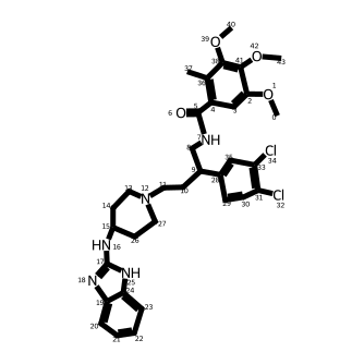 COc1cc(C(=O)NCC(CCN2CCC(Nc3nc4ccccc4[nH]3)CC2)c2ccc(Cl)c(Cl)c2)c(C)c(OC)c1OC